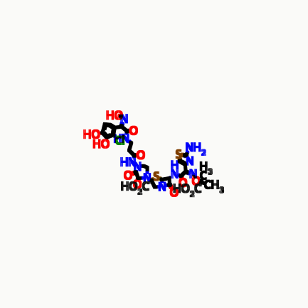 CC(C)(O/N=C(\C(=O)N[C@@H]1C(=O)N2C[C@@](C(=O)O)(N3CCN(NC(=O)CCNC(=O)/C(=N/O)c4ccc(O)c(O)c4Cl)C(=O)C3=O)SC12)c1csc(N)n1)C(=O)O